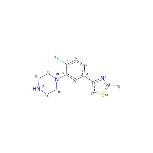 Cc1nc(-c2ccc(F)c(N3CCNCC3)c2)cs1